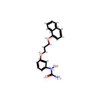 NC(=O)N(S)c1cccc(OCCCOc2cccc3ccccc23)c1